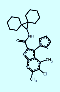 Cc1nc2sc(C(=O)NC3C4(CCCCC4)C34CCCCC4)c(-c3cccs3)c2c(C)c1Cl